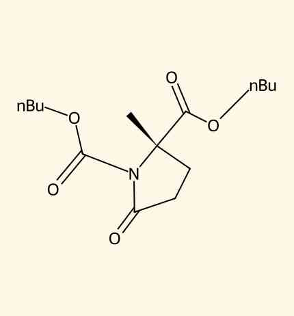 CCCCOC(=O)N1C(=O)CC[C@@]1(C)C(=O)OCCCC